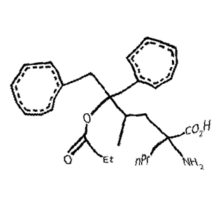 CCCC(N)(CC(C)C(Cc1ccccc1)(OC(=O)CC)c1ccccc1)C(=O)O